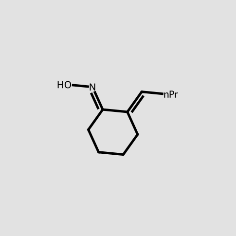 CCC/C=C1\CCCC\C1=N/O